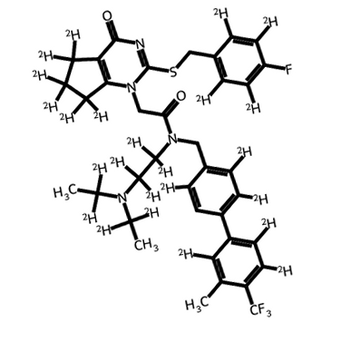 [2H]c1cc(-c2c([2H])c([2H])c(C(F)(F)F)c(C)c2[2H])c([2H])c([2H])c1CN(C(=O)Cn1c(SCc2c([2H])c([2H])c(F)c([2H])c2[2H])nc(=O)c2c1C([2H])([2H])C([2H])([2H])C2([2H])[2H])C([2H])([2H])C([2H])([2H])N(C([2H])([2H])C)C([2H])([2H])C